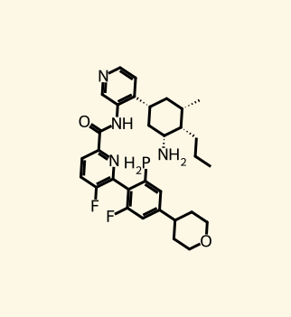 CCC[C@@H]1[C@H](N)C[C@H](c2ccncc2NC(=O)c2ccc(F)c(-c3c(F)cc(C4CCOCC4)cc3P)n2)C[C@@H]1C